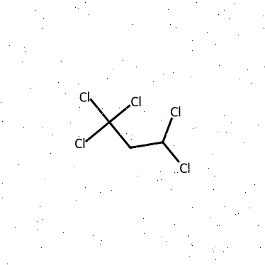 ClC(Cl)CC(Cl)(Cl)Cl